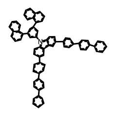 c1ccc(-c2ccc(-c3ccc(-c4ccc5c(c4)c4cc(-c6ccc(-c7ccc(-c8ccccc8)cc7)cc6)ccc4n5-c4cc(-c5cccc6ccccc56)cc(-c5cccc6ccccc56)c4)cc3)cc2)cc1